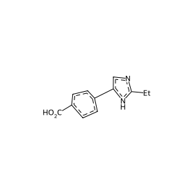 CCc1ncc(-c2ccc(C(=O)O)cc2)[nH]1